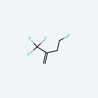 C=C(CCF)C(F)(F)F